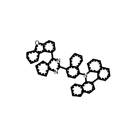 c1ccc2c3c(ccc2c1)-c1cccc2cccc(c12)N3c1ccc(-c2nc(-c3cccc4oc5ccccc5c34)c3ccccc3n2)c2ccccc12